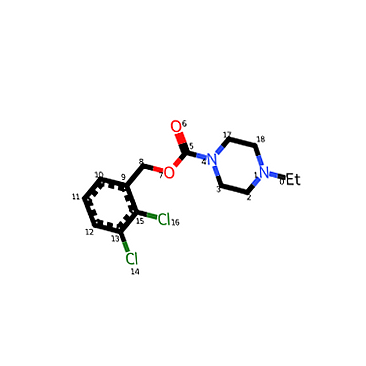 [CH2]CN1CCN(C(=O)OCc2cccc(Cl)c2Cl)CC1